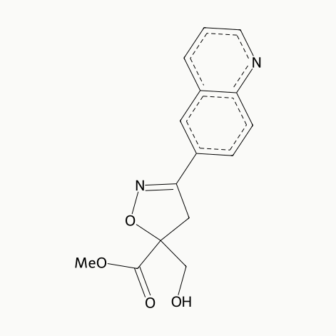 COC(=O)C1(CO)CC(c2ccc3ncccc3c2)=NO1